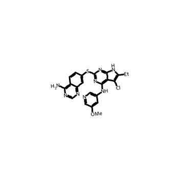 CCc1[nH]c2nc(Sc3ccc4c(N)ncnc4c3)nc(Nc3cncc(OC)c3)c2c1Cl